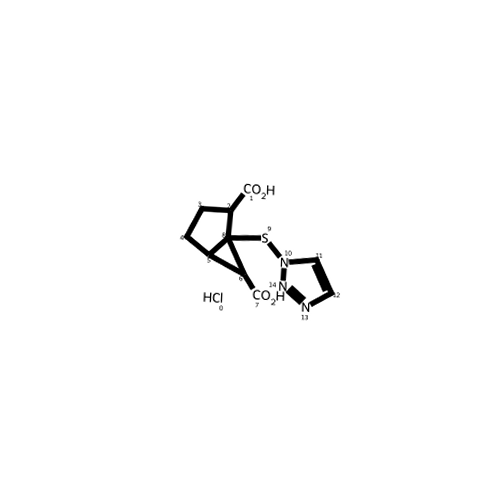 Cl.O=C(O)C1CCC2C(C(=O)O)C12Sn1ccnn1